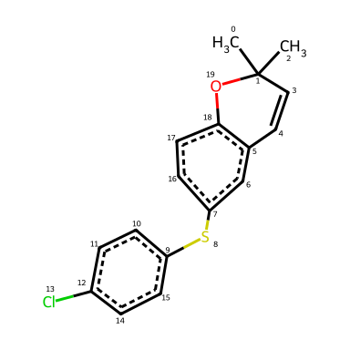 CC1(C)C=Cc2cc(Sc3ccc(Cl)cc3)ccc2O1